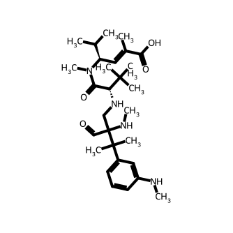 CNc1cccc(C(C)(C)C(C=O)(CN[C@H](C(=O)N(C)[C@H](/C=C(\C)C(=O)O)C(C)C)C(C)(C)C)NC)c1